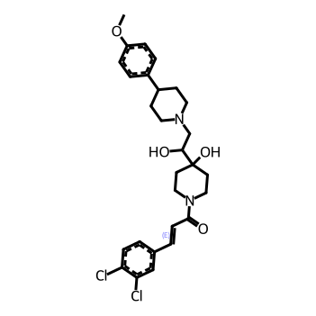 COc1ccc(C2CCN(CC(O)C3(O)CCN(C(=O)/C=C/c4ccc(Cl)c(Cl)c4)CC3)CC2)cc1